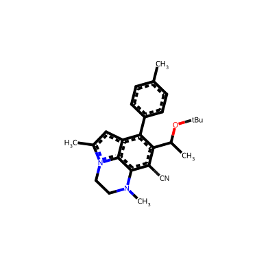 Cc1ccc(-c2c(C(C)OC(C)(C)C)c(C#N)c3c4c2cc(C)n4CCN3C)cc1